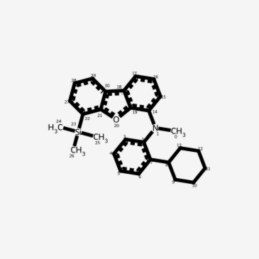 CN(c1ccccc1C1CCCCC1)c1cccc2c1oc1c([Si](C)(C)C)cccc12